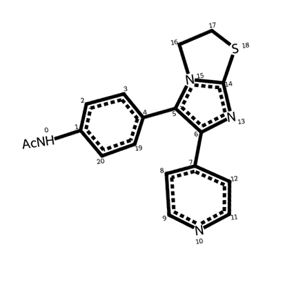 CC(=O)Nc1ccc(-c2c(-c3ccncc3)nc3n2CCS3)cc1